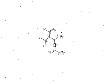 C=C(C)C(C(=C)C)C(/B=C(\C)C(C)C)C(C)C